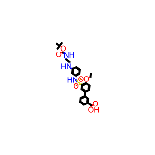 CCOc1ccc(-c2cccc(C(=O)O)c2)cc1S(=O)(=O)Nc1cccc(NCCNC(=O)OC(C)(C)C)c1